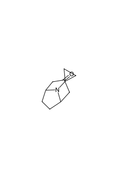 O=C1CC2CCC(C1)N2C1CC1